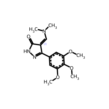 COc1cc(C2=NNC(=O)/C2=C\N(C)C)cc(OC)c1OC